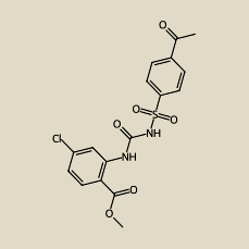 COC(=O)c1ccc(Cl)cc1NC(=O)NS(=O)(=O)c1ccc(C(C)=O)cc1